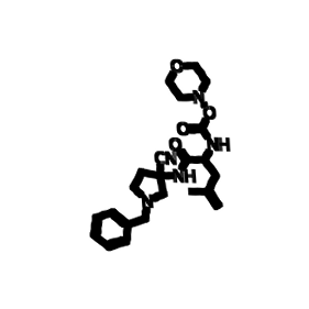 C=C(C)CC(NC(=O)ON1CCOCC1)C(=O)NC1(C#N)CCN(Cc2ccccc2)C1